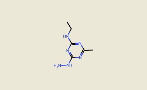 CCNc1nc(C)nc(NN)n1